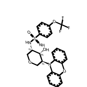 N=S(=O)(N[C@H]1COC[C@H](N2c3ccccc3Oc3ccccc32)[C@H]1O)c1ccc(OC(F)(F)F)cc1